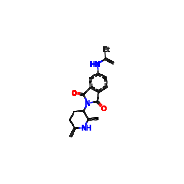 C=C1CCC(N2C(=O)c3ccc(NC(=C)CC)cc3C2=O)C(=C)N1